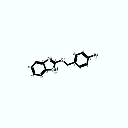 CC(=O)c1ccc(CSc2nc3ccccc3[nH]2)cc1